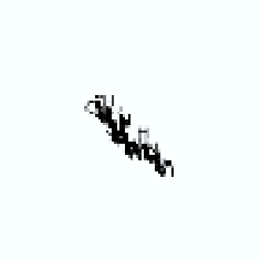 CC(=O)N1CCC(COc2ccc(-c3ccnc(Nc4ccc(N5CCOCC5)cn4)c3)cc2C#N)CC1